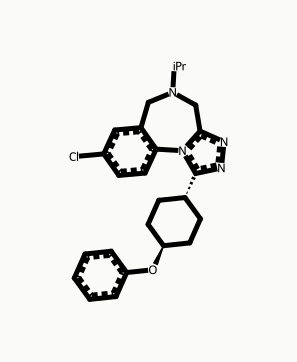 CC(C)N1Cc2cc(Cl)ccc2-n2c(nnc2[C@H]2CC[C@H](Oc3ccccc3)CC2)C1